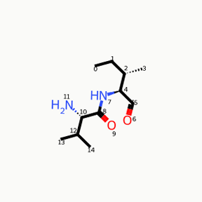 CC[C@H](C)[C@@H]([C]=O)NC(=O)[C@@H](N)C(C)C